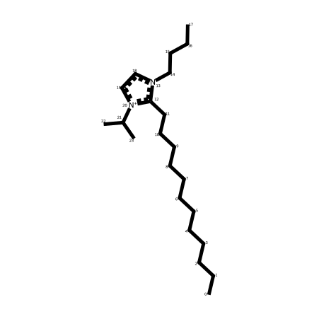 CCCCCCCCCCCCc1n(CCCC)cc[n+]1C(C)C